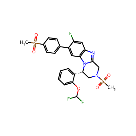 CS(=O)(=O)c1ccc(-c2cc3c(cc2F)nc2n3[C@@H](c3ccccc3OC(F)F)CN(S(C)(=O)=O)C2)cc1